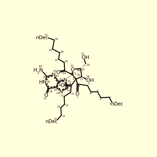 CCCCCCCCCCCCCCCC(=O)C1(C(=O)CCCCCCCCCCCCCCC)[C@H](O)[C@@H](CO)O[C@@]1(C(=O)CCCCCCCCCCCCCCC)n1cnc2c(=O)[nH]c(N)nc21